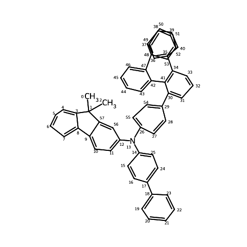 CC1(C)c2ccccc2-c2ccc(N(c3ccc(-c4ccccc4)cc3)c3ccc(-c4cccc(-c5ccccc5)c4-c4ccccc4-c4ccccc4)cc3)cc21